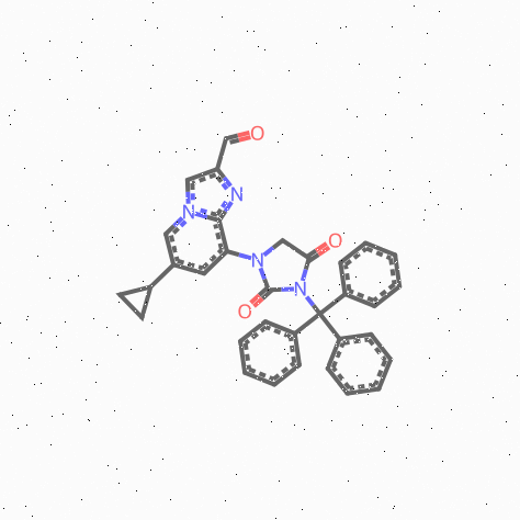 O=Cc1cn2cc(C3CC3)cc(N3CC(=O)N(C(c4ccccc4)(c4ccccc4)c4ccccc4)C3=O)c2n1